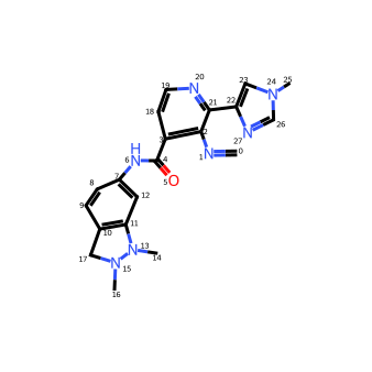 C=Nc1c(C(=O)Nc2ccc3c(c2)N(C)N(C)C3)ccnc1-c1cn(C)cn1